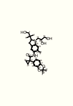 CC(C)(CO)C1Cc2cc(NC(=O)C3(c4ccc5c(c4)OC(F)(F)O5)CC3)c(F)cc2N1C[C@@H](O)CO